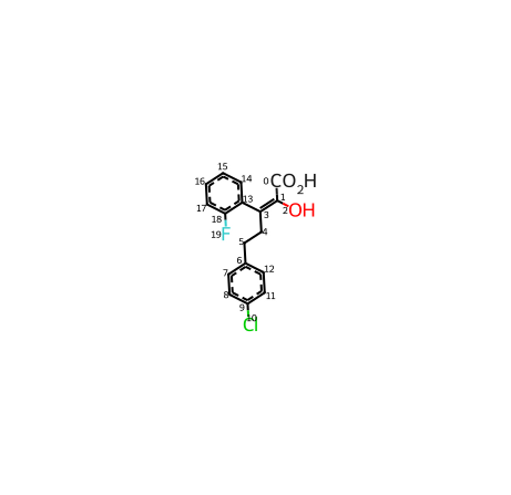 O=C(O)/C(O)=C(/CCc1ccc(Cl)cc1)c1ccccc1F